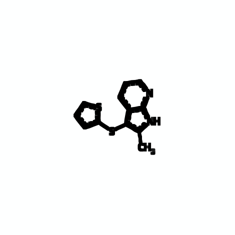 Cc1[nH]c2ncccc2c1Sc1cccs1